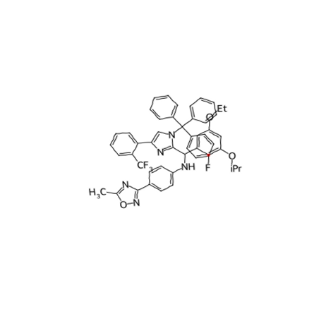 CCOc1cc(OC(C)C)c(F)c(C(Nc2ccc(-c3noc(C)n3)cc2)c2nc(-c3ccccc3C(F)(F)F)cn2C(c2ccccc2)(c2ccccc2)c2ccccc2)c1